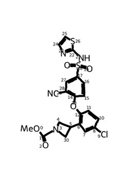 COC(=O)N1CC(c2cc(Cl)ccc2Oc2ccc(S(=O)(=O)Nc3nccs3)cc2C#N)C1